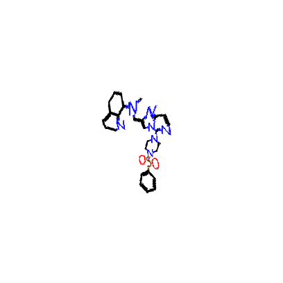 CN(Cc1cn2c(N3CCN(S(=O)(=O)c4ccccc4)CC3)nccc2n1)C1CCCc2cccnc21